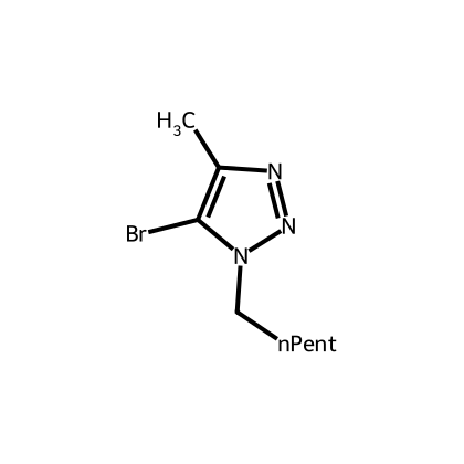 CCCCCCn1nnc(C)c1Br